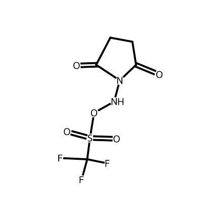 O=C1CCC(=O)N1NOS(=O)(=O)C(F)(F)F